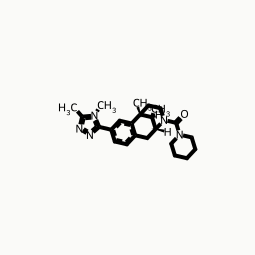 Cc1nnc(-c2ccc3c(c2)[C@]2(C)CCN(C(=O)N4CCCCC4)[C@H](C3)[C@H]2C)n1C